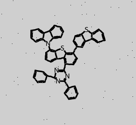 c1ccc(-c2nc(-c3ccccc3)nc(-c3ccc(-c4ccc5sc6ccccc6c5c4)c4sc5c(-n6c7ccccc7c7ccccc76)cccc5c34)n2)cc1